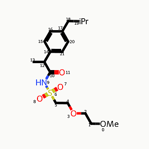 COCCOCCS(=O)(=O)NC(=O)C(C)c1ccc(CC(C)C)cc1